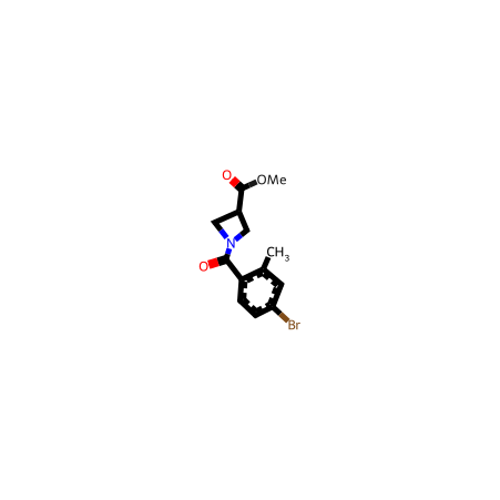 COC(=O)C1CN(C(=O)c2ccc(Br)cc2C)C1